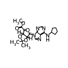 COC(=O)[C@H]1O[C@@H](n2cnc3c(NC4CCCC4)ncnc32)[C@@H]2OC(C)(C)O[C@@H]21